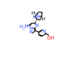 Nc1cc([C@H]2C[C@H]3CC[C@@H](C2)N3)nc2c(-c3ccc(CO)nc3)cnn12